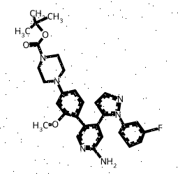 COc1cc(N2CCN(C(=O)OC(C)(C)C)CC2)ccc1-c1cnc(N)cc1-c1ccnn1-c1cccc(F)c1